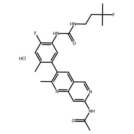 CC(=O)Nc1cc2nc(C)c(-c3cc(NC(=O)NCCC(C)(C)F)c(F)cc3C)cc2cn1.Cl